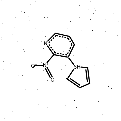 O=[N+]([O-])c1ncccc1[SH]1C=CC=C1